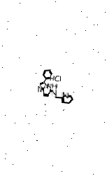 Cl.c1ccc(-c2cnc3ccc(NCc4ccccn4)nn23)cc1